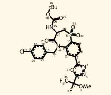 COC(F)(c1nnc(-c2ccc3c(c2)N(Cc2ccc(Cl)cc2)C(=O)[C@@H](NC(=O)OC(C)(C)C)CS3(=O)=O)o1)C(F)(F)F